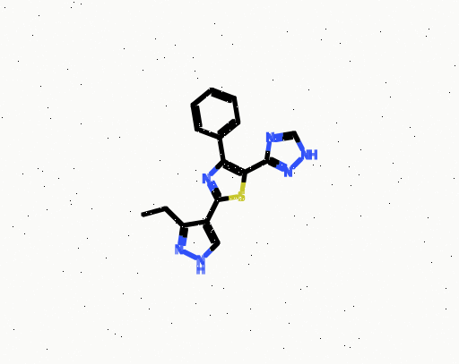 CCc1n[nH]cc1-c1nc(-c2ccccc2)c(-c2nc[nH]n2)s1